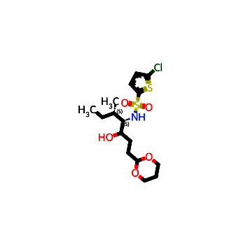 CC[C@H](C)[C@H](NS(=O)(=O)c1ccc(Cl)s1)C(O)CCC1OCCCO1